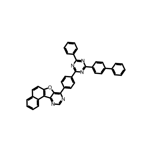 c1ccc(-c2ccc(-c3nc(-c4ccccc4)nc(-c4ccc(-c5ncnc6c5oc5ccc7ccccc7c56)cc4)n3)cc2)cc1